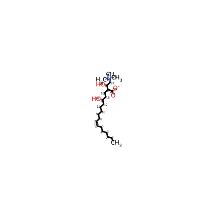 CCCCCC/C=C\CCCCCC(O)CCC(C(=O)[O-])C(O)C[N+](C)(C)C